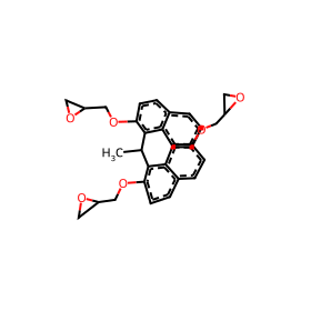 CC(c1c(OCC2CO2)ccc2ccccc12)c1c(OCC2CO2)ccc2ccc(OCC3CO3)cc12